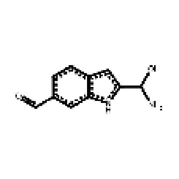 NC(O)c1cc2ccc(C=O)cc2[nH]1